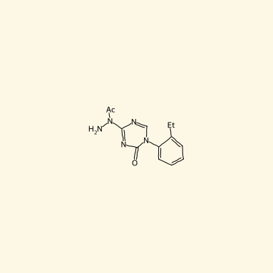 CCc1ccccc1-n1cnc(N(N)C(C)=O)nc1=O